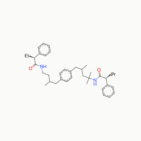 CC[C@H](C(=O)NCCC(C)Cc1ccc(CC(C)CC(C)(C)NC(=O)[C@H](c2ccccc2)C(C)C)cc1)c1ccccc1